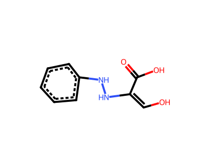 O=C(O)C(=CO)NNc1ccccc1